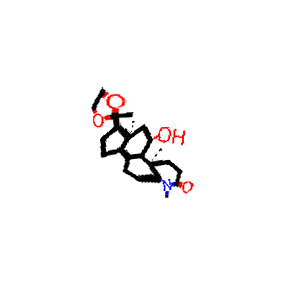 CN1C(=O)CC[C@@]2(C)C1=CCC1C3CCC(C4(C)OCCO4)[C@@]3(C)C[C@H](O)C12